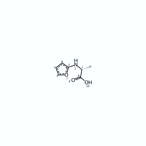 C[C@@H](Nc1ccco1)C(=O)O